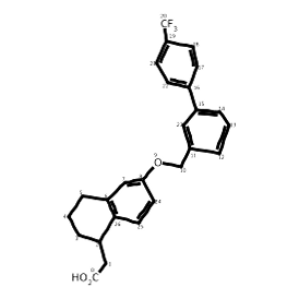 O=C(O)CC1CCCc2cc(OCc3cccc(-c4ccc(C(F)(F)F)cc4)c3)ccc21